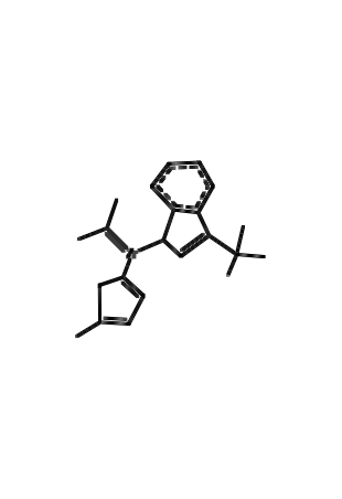 CC1=CC=[C]([Zr](=[C](C)C)[CH]2C=C(C(C)(C)C)c3ccccc32)C1